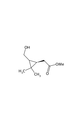 COC(=O)C[C@@H]1C(CO)C1(C)C